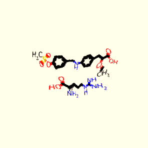 CCOC(Cc1ccc(NCc2ccc(OS(C)(=O)=O)cc2)cc1)C(=O)O.N=C(N)NCCC[C@H](N)C(=O)O